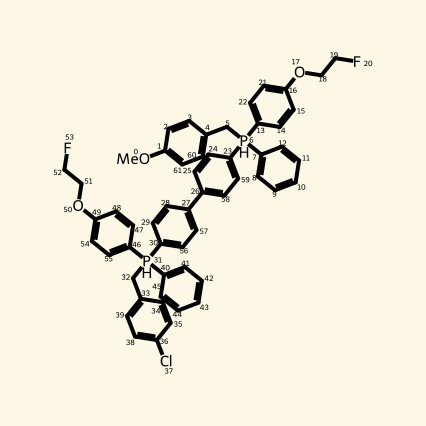 COc1ccc(C[PH](c2ccccc2)(c2ccc(OCCF)cc2)c2ccc(-c3ccc([PH](Cc4ccc(Cl)cc4)(c4ccccc4)c4ccc(OCCF)cc4)cc3)cc2)cc1